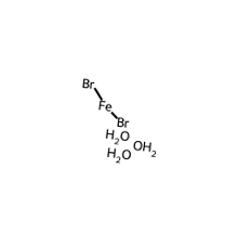 O.O.O.[Br][Fe][Br]